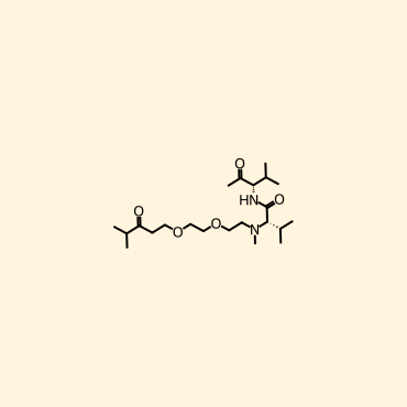 CC(=O)[C@@H](NC(=O)[C@H](C(C)C)N(C)CCOCCOCCC(=O)C(C)C)C(C)C